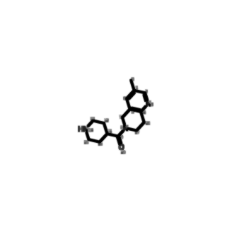 Cc1cnc2c(c1)CN(C(=O)C1CCNCC1)CC2